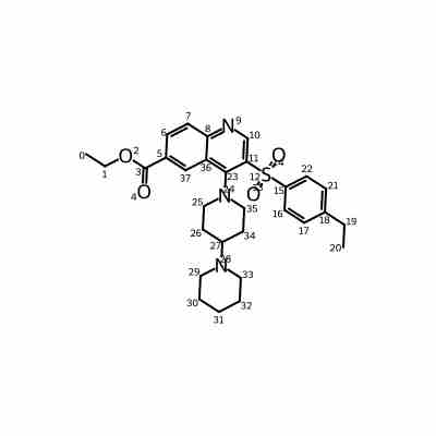 CCOC(=O)c1ccc2ncc(S(=O)(=O)c3ccc(CC)cc3)c(N3CCC(N4CCCCC4)CC3)c2c1